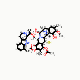 C=C(OC[C@H]1c2c3c(c(C)c(OC(C)=O)c2[C@@H](S)C2[C@@H]4c5c(cc(C)c(OC)c5O)C[C@H]([C@H](O)N21)N4C)OCO3)[C@]1(I)NCCc2c1[nH]c1c(C)cccc21